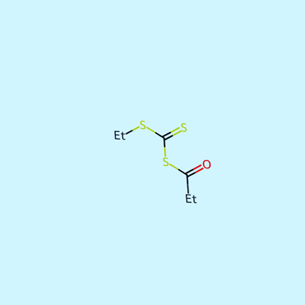 CCSC(=S)SC(=O)CC